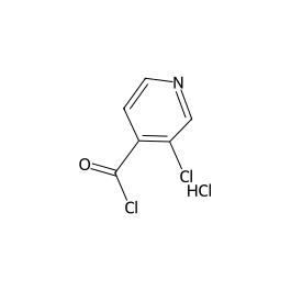 Cl.O=C(Cl)c1ccncc1Cl